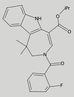 CC(C)OC(=O)C1=CN(C(=O)c2ccccc2F)CC(C)(C)c2c1[nH]c1ccccc21